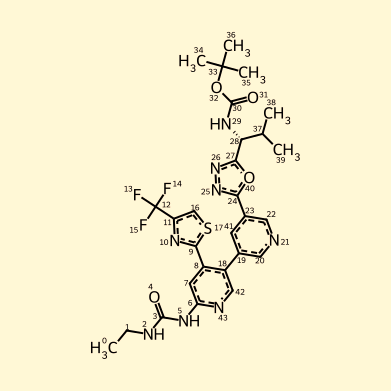 CCNC(=O)Nc1cc(-c2nc(C(F)(F)F)cs2)c(-c2cncc(-c3nnc([C@H](NC(=O)OC(C)(C)C)C(C)C)o3)c2)cn1